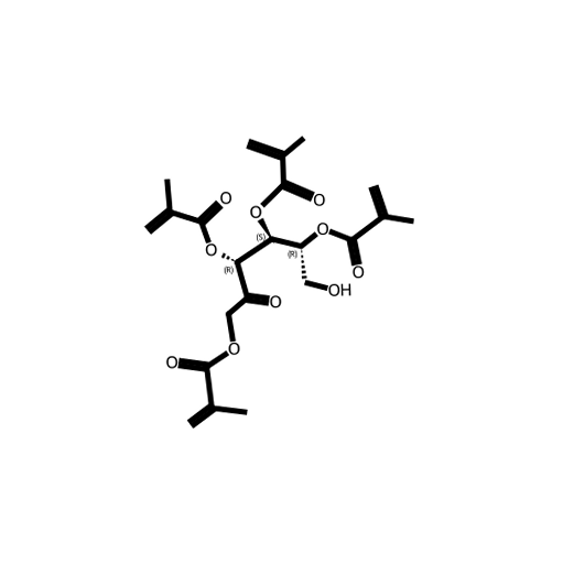 C=C(C)C(=O)OCC(=O)[C@H](OC(=O)C(=C)C)[C@@H](OC(=O)C(=C)C)[C@@H](CO)OC(=O)C(=C)C